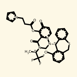 C[C@@H](N1CN([C@@H]2c3ccccc3SCc3cccc(Cl)c32)n2ccc(=O)c(OC(=O)CCn3cccc3)c2C1=O)C(F)(F)F